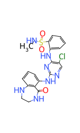 CNS(=O)(=O)c1ccccc1Nc1nc(Nc2cccc3c2C(=O)NCCN3)ncc1Cl